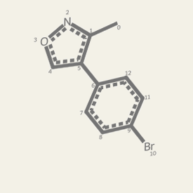 Cc1nocc1-c1ccc(Br)cc1